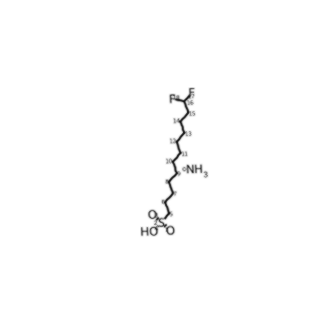 N.O=S(=O)(O)CCCCCCCCCCCC(F)F